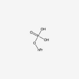 C[CH]COP(=O)(O)O